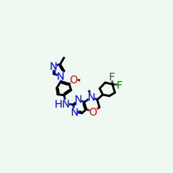 COc1cc(Nc2ncc3c(n2)N(C)C(C2CCC(F)(F)CC2)CO3)ccc1-n1cnc(C)c1